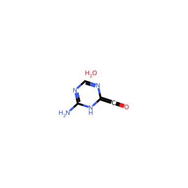 NC1=NC=NC(=C=O)N1.O